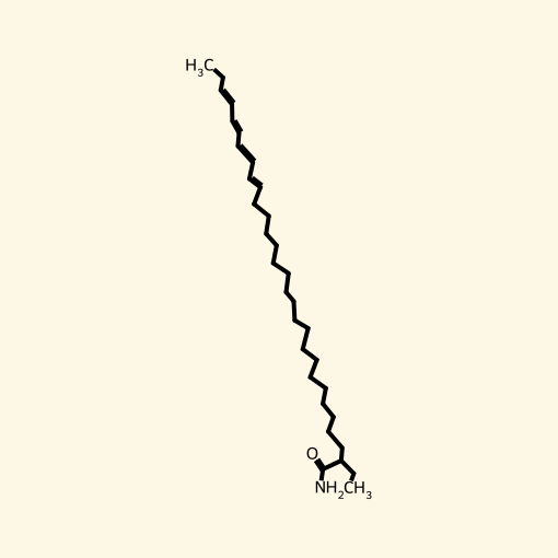 CCC=CC=CC=CC=CCCCCCCCCCCCCCCCCCCC(CC)C(N)=O